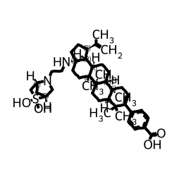 C=C(C)[C@@H]1CC[C@]2(NCCN3C[C@H]4C[C@@H]3CS4(O)O)CC[C@]3(C)[C@H](CC[C@@H]4[C@@]5(C)CC=C(c6ccc(C(=O)O)cc6)C(C)(C)[C@@H]5CC[C@]43C)[C@@H]12